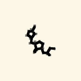 C=C1N(CC(C)CC)CCN1CC1CCN(C)C1